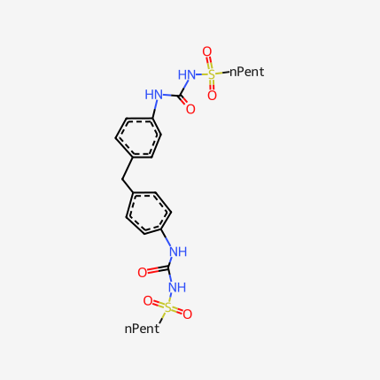 CCCCCS(=O)(=O)NC(=O)Nc1ccc(Cc2ccc(NC(=O)NS(=O)(=O)CCCCC)cc2)cc1